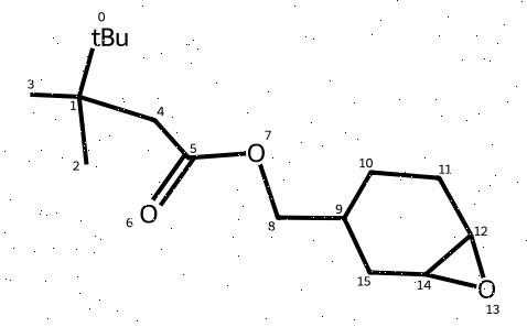 CC(C)(C)C(C)(C)CC(=O)OCC1CCC2OC2C1